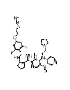 [N-]=[N+]=NCCOc1cc(F)c(CNC2=C(C(=N)C3=NC=C(N=O)C(N(CCN4CCCC4)c4ccncc4)N3)CCC2)c(F)c1